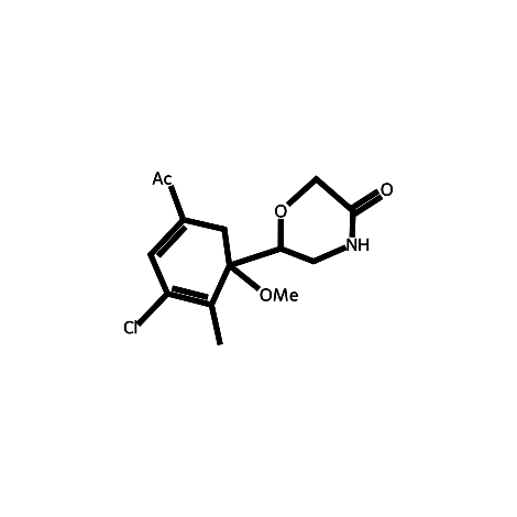 COC1(C2CNC(=O)CO2)CC(C(C)=O)=CC(Cl)=C1C